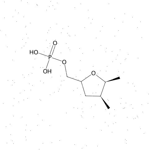 C[C@@H]1OC(COP(=O)(O)O)C[C@@H]1C